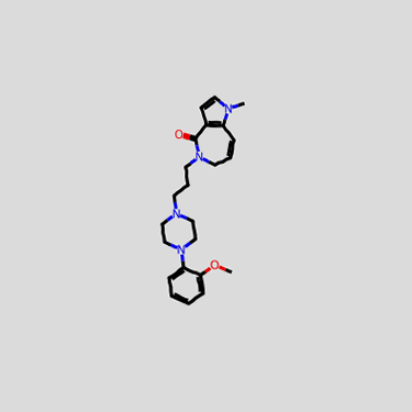 COc1ccccc1N1CCN(CCCN2CC=Cc3c(ccn3C)C2=O)CC1